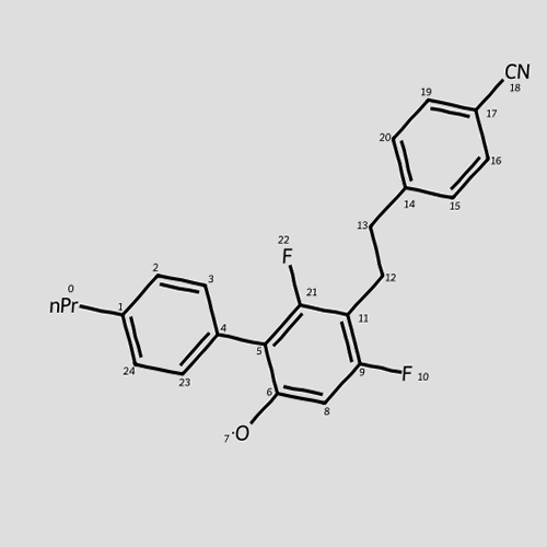 CCCc1ccc(-c2c([O])cc(F)c(CCc3ccc(C#N)cc3)c2F)cc1